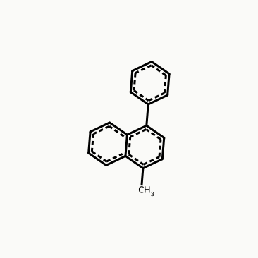 Cc1ccc(-c2ccccc2)c2ccccc12